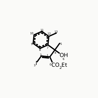 CCOC(=O)C(=CI)C(C)(O)c1ccccc1C